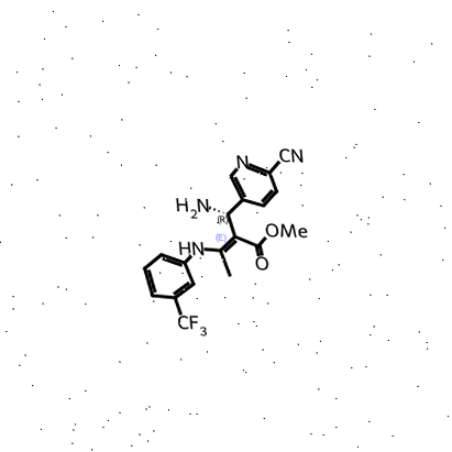 COC(=O)/C(=C(\C)Nc1cccc(C(F)(F)F)c1)[C@H](N)c1ccc(C#N)nc1